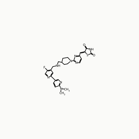 CN(C)c1ccc(-c2cc(CNCC3CCN(c4nccc(/C=C5\SC(=O)NC5=O)n4)CC3)c(F)cn2)cn1